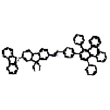 CCC1(CC)c2cc(/C=C/c3ccc(-c4cc(C5C=CC=CC5)c5c6ccccc6c6ccccc6c5c4-c4ccccc4)cc3)ccc2C2C=CC(n3c4ccccc4c4ccccc43)=CC21